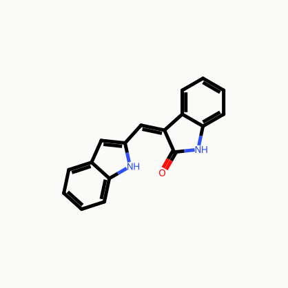 O=C1Nc2ccccc2C1=Cc1cc2ccccc2[nH]1